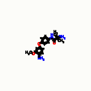 COc1cc(Oc2ccc(NC(=O)C(C)(C)N)cc2)ccc1N